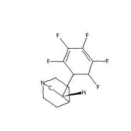 FC1=C(F)C(F)=C(F)C(F)[C]1[C@H]1CN2CCC1CC2